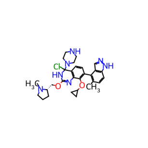 Cc1ccc2[nH]ncc2c1-c1ccc2c(c1OC1CC1)N=C(OC[C@@H]1CCCN1C)NC2(Cl)N1CCNCC1